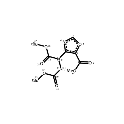 COC(=O)c1ocnc1N(NC(=O)OC(C)(C)C)C(=O)OC(C)(C)C